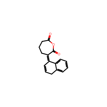 O=C1CCCC(=C2C=CCc3ccccc32)C(=O)O1